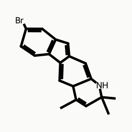 CC1=CC(C)(C)NC2=CC3=Cc4cc(Br)ccc4C3=CC12